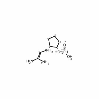 C1CCCC1.NC=C(N)N.O=[PH](O)O